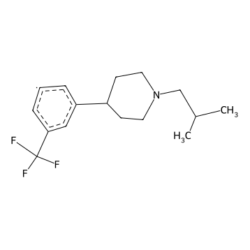 CC(C)CN1CCC(c2c[c]cc(C(F)(F)F)c2)CC1